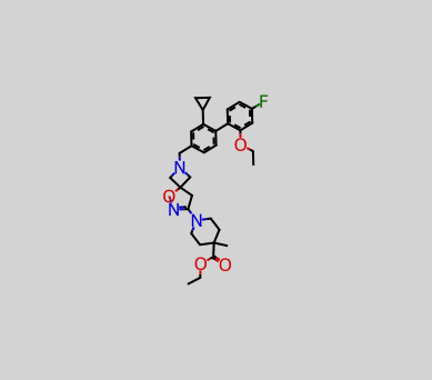 CCOC(=O)C1(C)CCN(C2=NOC3(C2)CN(Cc2ccc(-c4ccc(F)cc4OCC)c(C4CC4)c2)C3)CC1